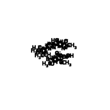 COC(=O)c1cc(OC)c(Br)cc1[N+](=O)[O-].Cn1cnc2cc(-c3cn4ccc(C5=CC(C)(C)NC(C)(C)C5)nc4n3)c(O)cc2c1=O.O=CO